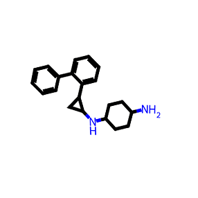 NC1CCC(NC2CC2c2ccccc2-c2ccccc2)CC1